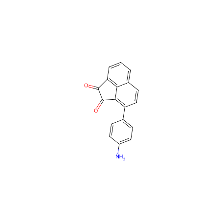 Nc1ccc(-c2ccc3cccc4c3c2C(=O)C4=O)cc1